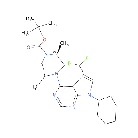 CC1CN(C(=O)OC(C)(C)C)[C@@H](C)CN1c1ncnc2c1c(C(F)F)cn2C1CCCCC1